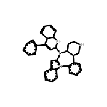 C1=CC2NC(N3c4cc5ccccc5n4-c4ccccc4C4CNCCC43)C=C(c3ccccc3)C2C=C1